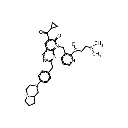 CN(C)CC[S+]([O-])c1ncccc1Cn1c(=O)c(C(=O)C2CC2)cc2cnc(Cc3ccc(N4CCN5CCCC5C4)cc3)nc21